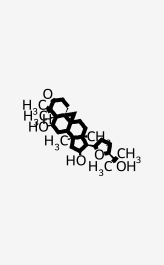 CC(C)(O)[C@@H]1CCC([C@H]2[C@@H](O)C[C@@]3(C)C4C[C@H](O)[C@H]5C(C)(C)C(=O)CC[C@@]56CC46CC[C@]23C)O1